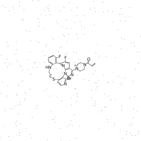 C=CC(=O)N1CCN(c2nc(=O)n3c4nc(c(F)cc24)-c2c(F)cccc2NCCSc2ccnc(C(C)C)c2-3)[C@H](C)C1